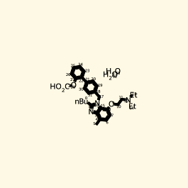 CCCCc1nc2c(C)ccc(OCCN(CC)CC)c2n1Cc1ccc(-c2ccccc2OC(=O)O)cc1.O.O